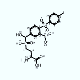 Cc1ccc(S(=O)(=O)c2ccc(C(O)P(=O)(O)CC[C@H](N)C(=O)O)cc2[N+](=O)[O-])cc1